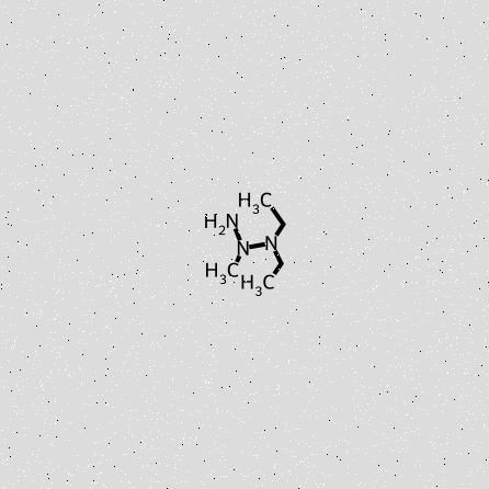 CCN(CC)N(C)N